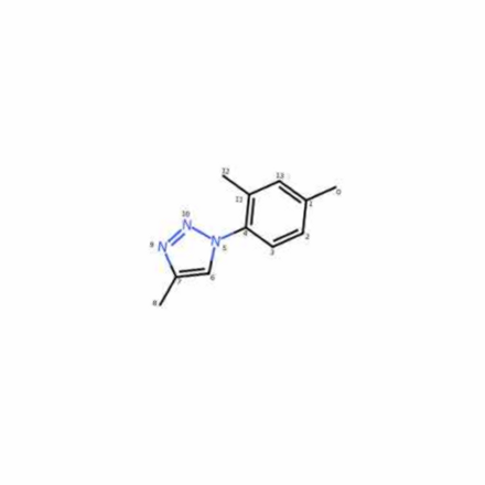 Cc1ccc(-n2cc(C)nn2)c(C)c1